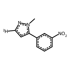 [2H]c1cc(-c2cccc([N+](=O)[O-])c2)n(C)n1